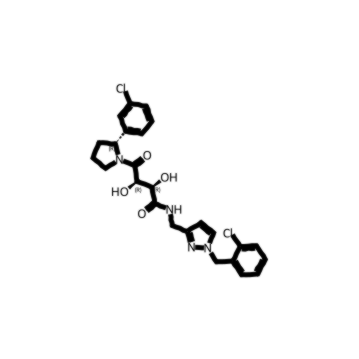 O=C(NCc1ccn(Cc2ccccc2Cl)n1)[C@H](O)[C@@H](O)C(=O)N1CCC[C@@H]1c1cccc(Cl)c1